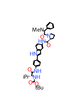 CN[C@@H](C(=O)N1CCC[C@H]1C(=O)Nc1ccc2[nH]c(-c3ccc(NC(=O)[C@H](NC(=O)OC(C)(C)C)C(C)C)cc3)cc2c1)c1ccccc1